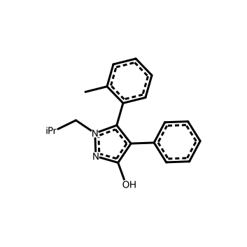 Cc1ccccc1-c1c(-c2ccccc2)c(O)nn1CC(C)C